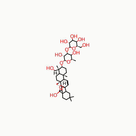 C[C@H]1O[C@@H](O[C@H]2CC[C@@]3(C)[C@@H](CC[C@]4(C)[C@@H]3C=CC35OC[C@@]6(CCC(C)(C)CC36)C(O)C[C@]54C)[C@]2(C)CO)[C@H](O)[C@@H](OC2O[C@H](CO)C(O)C(O)[C@H]2O)C1O